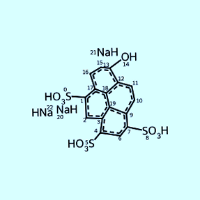 O=S(=O)(O)c1cc2c(S(=O)(=O)O)cc(S(=O)(=O)O)c3ccc4c(O)ccc1c4c32.[NaH].[NaH].[NaH]